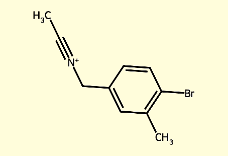 CC#[N+]Cc1ccc(Br)c(C)c1